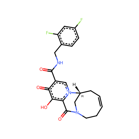 O=C(NCc1ccc(F)cc1F)c1cn2c(c(O)c1=O)C(=O)N1CCC=CC[C@@H]2C1